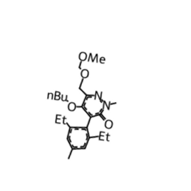 CCCCOc1c(COCOC)nn(C)c(=O)c1-c1c(CC)cc(C)cc1CC